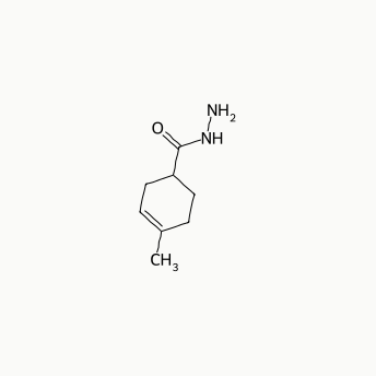 CC1=CCC(C(=O)NN)CC1